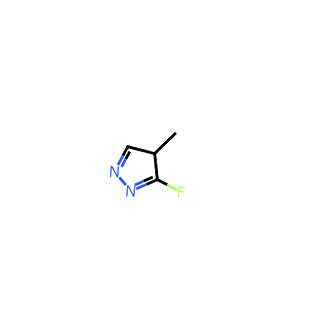 CC1C=NN=C1F